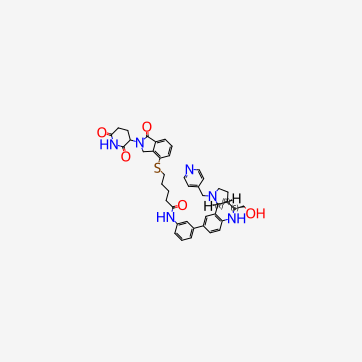 O=C1CCC(N2Cc3c(SCCCCC(=O)Nc4cccc(-c5ccc6c(c5)[C@H]5[C@H](CCN5Cc5ccncc5)[C@@H](CO)N6)c4)cccc3C2=O)C(=O)N1